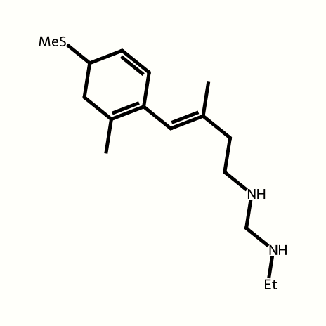 CCNCNCC/C(C)=C/C1=C(C)CC(SC)C=C1